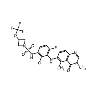 Cc1c(Nc2c(F)ccc(NS(=O)(=O)N3CC(OC(F)(F)F)C3)c2Cl)ccc2ncn(C)c(=O)c12